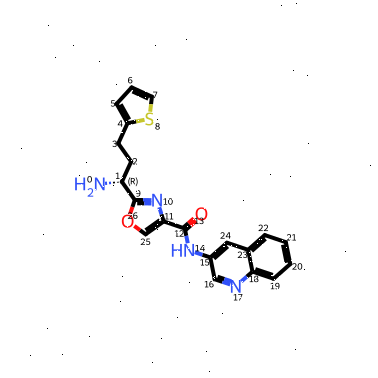 N[C@H](CCc1cccs1)c1nc(C(=O)Nc2cnc3ccccc3c2)co1